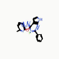 Cc1cccc(OC2(N)c3cc[nH]c3N=C(c3ccccc3)N2F)n1